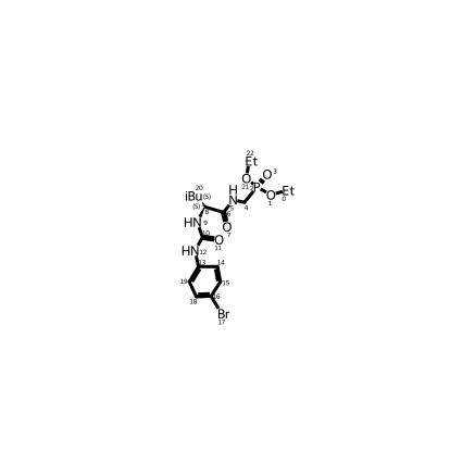 CCOP(=O)(CNC(=O)[C@@H](NC(=O)Nc1ccc(Br)cc1)[C@@H](C)CC)OCC